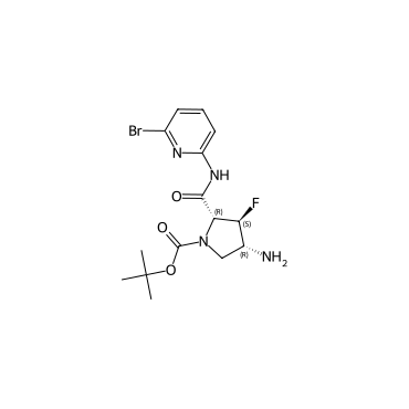 CC(C)(C)OC(=O)N1C[C@@H](N)[C@H](F)[C@H]1C(=O)Nc1cccc(Br)n1